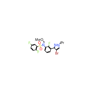 COCN(c1cccc(-c2nn(C(C)C)cc2Br)c1F)S(=O)(=O)c1cc(F)ccc1F